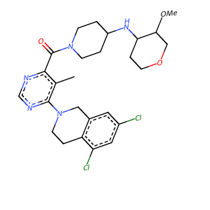 COC1COCCC1NC1CCN(C(=O)c2ncnc(N3CCc4c(Cl)cc(Cl)cc4C3)c2C)CC1